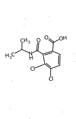 CC(C)NC(=O)c1c(C(=O)O)ccc(Cl)c1Cl